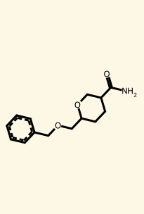 NC(=O)C1CCC(COCc2ccccc2)OC1